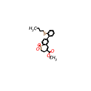 CCCCSc1ccccc1-c1ccc2c(c1)C=C(C(=O)OC)CCS2(=O)=O